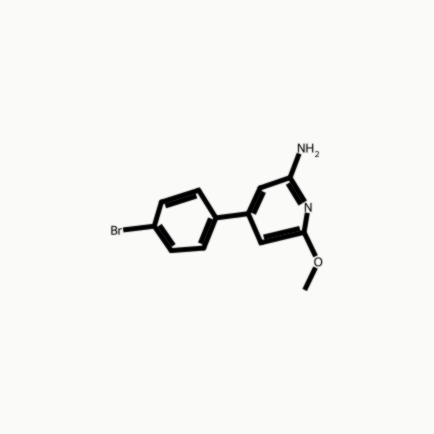 COc1cc(-c2ccc(Br)cc2)cc(N)n1